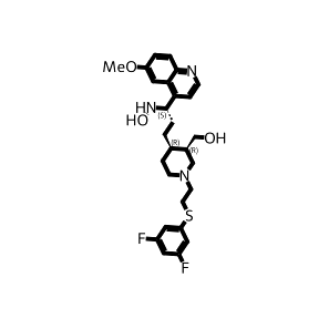 COc1ccc2nccc([C@H](CC[C@@H]3CCN(CCSc4cc(F)cc(F)c4)C[C@@H]3CO)NO)c2c1